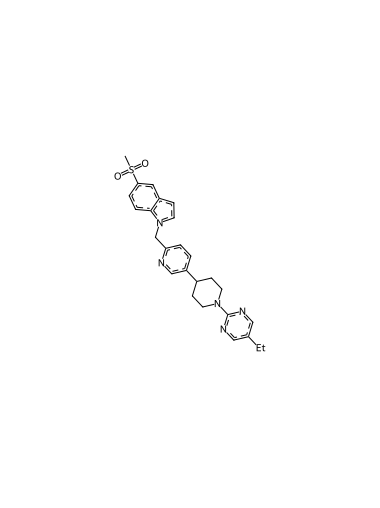 CCc1cnc(N2CCC(c3ccc(Cn4ccc5cc(S(C)(=O)=O)ccc54)nc3)CC2)nc1